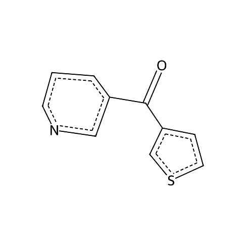 O=C(c1cccnc1)c1ccsc1